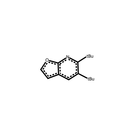 CC(C)(C)c1cc2ccoc2nc1C(C)(C)C